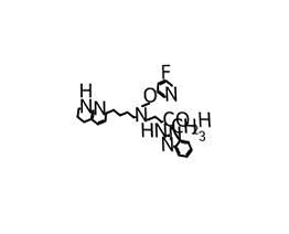 Cn1c(N[C@@H](CCN(CCCCc2ccc3c(n2)NCCC3)CCOc2cncc(F)c2)C(=O)O)nc2ccccc21